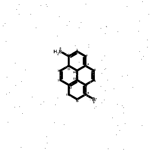 BC1=CC=C2C=CC3=C(Br)CCC4=C3C2C1C=C4